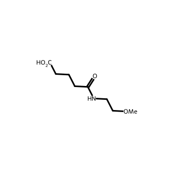 COCCNC(=O)CCCC(=O)O